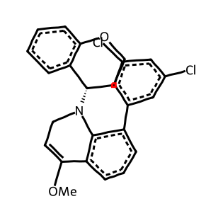 COC1=CCN([C@H]2CCOc3ccccc32)c2c1cccc2-c1cc(Cl)cc(Cl)c1